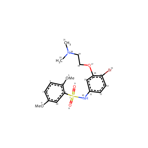 COc1ccc(OC)c(S(=O)(=O)Nc2ccc(Br)c(OCCN(C)C)c2)c1